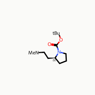 CNCC[C@@H]1CCCN1C(=O)OC(C)(C)C